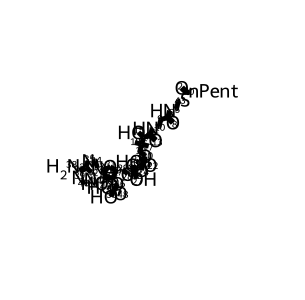 CCCCCC(=O)SCCNC(=O)CCNC(=O)C(O)C(C)(C)COP(=O)(O)OP(=O)(O)OC[C@H]1O[C@@H](n2cnc3c(N)ncnc32)[C@H](O)[C@@H]1OP(=O)(O)O